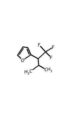 CC(C)C(c1ccco1)C(F)(F)F